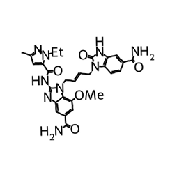 CCn1nc(C)cc1C(=O)Nc1nc2cc(C(N)=O)cc(OC)c2n1C/C=C/Cn1c(=O)[nH]c2cc(C(N)=O)ccc21